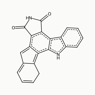 O=C1NC(=O)c2c1c1c(c3[nH]c4ccccc4c23)=C2CC=CC=C2C=1